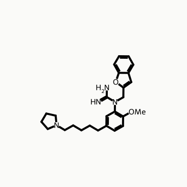 COc1ccc(CCCCCN2CCCC2)cc1N(Cc1cc2ccccc2o1)C(=N)N